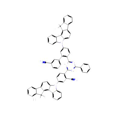 CC1(C)c2ccccc2-c2ccc3c(c21)c1ccccc1n3-c1ccc(-c2nc(-c3ccccc3)nc(-c3ccc(-n4c5ccccc5c5c6c(ccc54)-c4ccccc4C6(C)C)cc3-c3cccc(C#N)c3)n2)c(C#N)c1